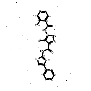 O=C(Nc1[nH]nc(C(=O)Nc2nc(-c3ccccc3)cs2)c1Br)c1ccccc1Cl